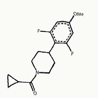 COc1cc(F)c(C2CCN(C(=O)C3CC3)CC2)c(F)c1